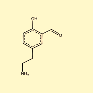 NCCc1ccc(O)c(C=O)c1